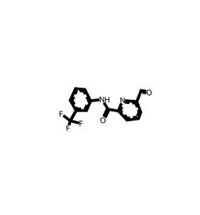 O=Cc1cccc(C(=O)Nc2cccc(C(F)(F)F)c2)n1